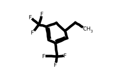 CCC1C=C(C(F)(F)F)C=C(C(F)(F)F)C1